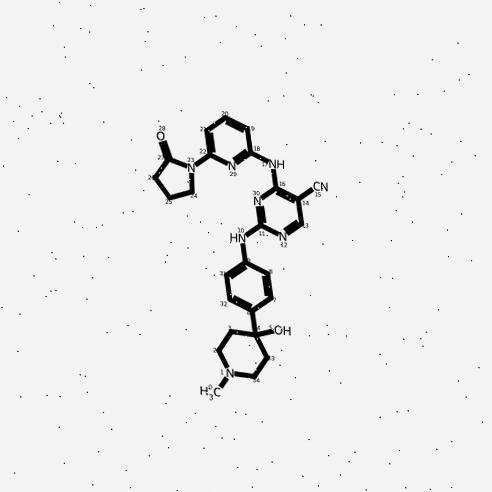 CN1CCC(O)(c2ccc(Nc3ncc(C#N)c(Nc4cccc(N5CCCC5=O)n4)n3)cc2)CC1